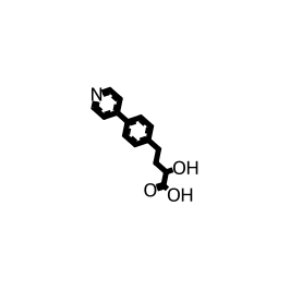 O=C(O)C(O)CCc1ccc(-c2ccncc2)cc1